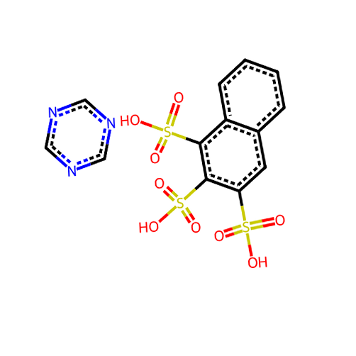 O=S(=O)(O)c1cc2ccccc2c(S(=O)(=O)O)c1S(=O)(=O)O.c1ncncn1